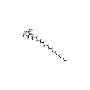 CCCCCCCCCCCCCCCCCC(=O)OC1=C(CC)OC(C)C1=O